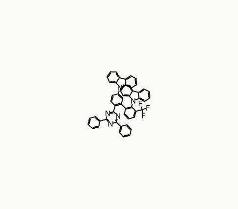 FC(F)(F)c1cccc(-c2cc(-n3c4ccccc4c4ccccc43)ccc2-c2nc(-c3ccccc3)nc(-c3ccccc3)n2)c1-n1c2ccccc2c2ccccc21